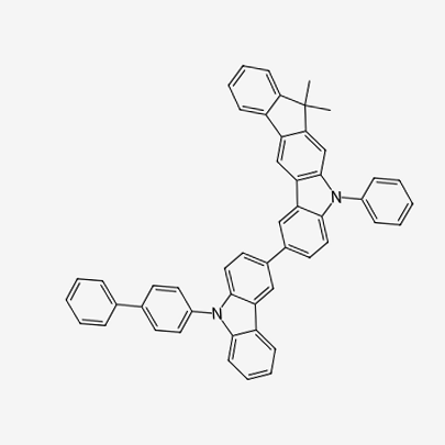 CC1(C)c2ccccc2-c2cc3c4cc(-c5ccc6c(c5)c5ccccc5n6-c5ccc(-c6ccccc6)cc5)ccc4n(-c4ccccc4)c3cc21